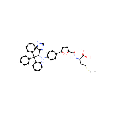 CSCCC(NC(=O)c1ccc(-c2ccc(NC(c3cnc[nH]3)C(c3ccccc3)(c3ccccc3)c3ccccc3)cc2)o1)C(=O)O